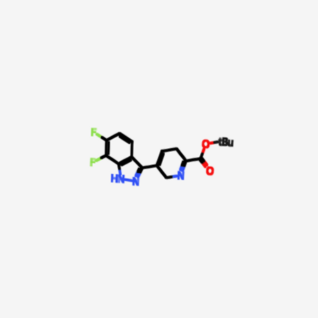 CC(C)(C)OC(=O)C1=NCC(c2n[nH]c3c(F)c(F)ccc23)=CC1